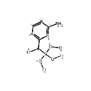 CCO[Si](OCC)(OCC)C(CC)c1ncnc(N)n1